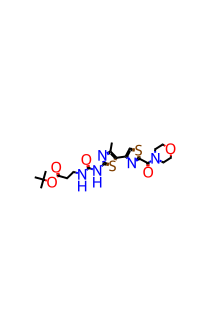 Cc1nc(NC(=O)NCCC(=O)OC(C)(C)C)sc1-c1csc(C(=O)N2CCOCC2)n1